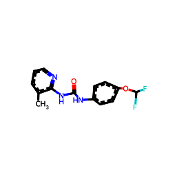 Cc1cccnc1NC(=O)Nc1ccc(OC(F)F)cc1